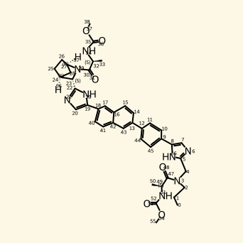 CCCN(Cc1ncc(-c2ccc(-c3ccc4cc(-c5cnc([C@@H]6[C@H]7CC[C@H](C7)N6C(=O)[C@H](C)NC(=O)OC)[nH]5)ccc4c3)cc2)[nH]1)C(=O)[C@H](C)NC(=O)OC